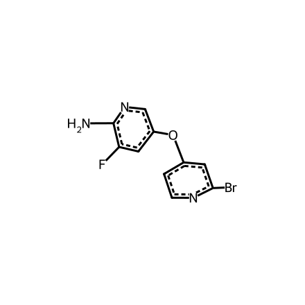 Nc1ncc(Oc2ccnc(Br)c2)cc1F